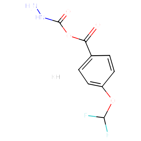 NNC(=O)OC(=O)c1ccc(OC(F)F)cc1.[KH]